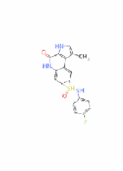 Cc1c[nH]c2c(=O)[nH]c3c(c12)=CC1C(C=3)[SH]1(=O)Nc1ccc(F)cc1